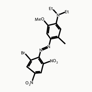 CCN(CC)c1cc(C)c(N=Nc2c(Br)cc([N+](=O)[O-])cc2[N+](=O)[O-])cc1OC